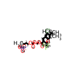 CC(CCOC(=O)OCOC(=O)C1=Cc2cc(Cl)c(C(C)(C)C)cc2O[C@@H]1C(F)(F)F)O[N+](=O)[O-]